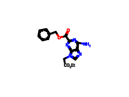 CCOC(=O)Cn1cnc2c(N)nc(C(=O)OCc3ccccc3)nc21